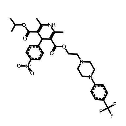 CC1=C(C(=O)OCCN2CCN(c3ccc(C(F)(F)F)cc3)CC2)C(c2ccc([N+](=O)[O-])cc2)C(C(=O)OC(C)C)=C(C)N1